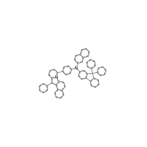 c1ccc(-c2c3c4ccccc4ccc3n3c(-c4ccc(N(c5ccc6c(c5)C(c5ccccc5)(c5ccccc5)c5ccccc5-6)c5ccc6ccccc6c5)cc4)cccc23)cc1